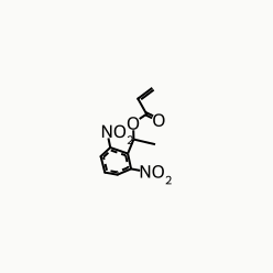 C=CC(=O)OC(C)c1c([N+](=O)[O-])cccc1[N+](=O)[O-]